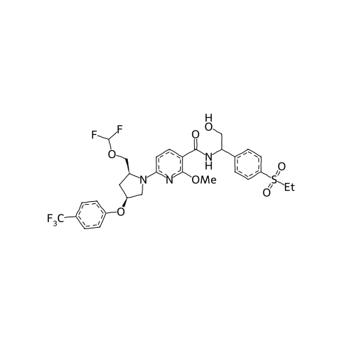 CCS(=O)(=O)c1ccc(C(CO)NC(=O)c2ccc(N3C[C@@H](Oc4ccc(C(F)(F)F)cc4)C[C@H]3COC(F)F)nc2OC)cc1